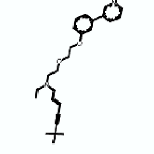 CCN(CC=CC#CC(C)(C)C)CCOCCOc1cccc(-c2cccnc2)c1